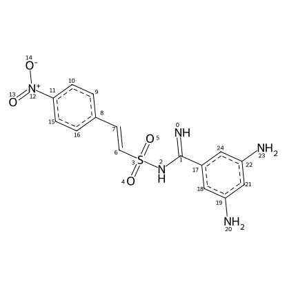 N=C(NS(=O)(=O)C=Cc1ccc([N+](=O)[O-])cc1)c1cc(N)cc(N)c1